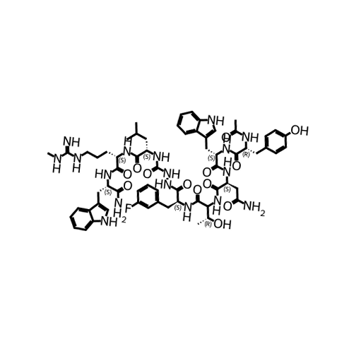 CNC(=N)NCCC[C@H](NC(=O)[C@H](CC(C)C)NC(=O)NNC(=O)[C@H](Cc1cccc(F)c1)NC(=O)C(NC(=O)[C@H](CC(N)=O)NC(=O)[C@H](Cc1c[nH]c2ccccc12)NC(=O)[C@@H](Cc1ccc(O)cc1)NC(C)=O)[C@@H](C)O)C(=O)N[C@@H](Cc1c[nH]c2ccccc12)C(N)=O